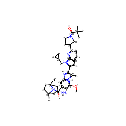 COc1cc(C(=O)N2[C@@H]3CC[C@H]2C[C@@H](N)C3)cc2nc(-c3cc4ccc(C5CCN(C(=O)C(C)(C)C)C5)nc4n3CC3CC3)c(C)n12